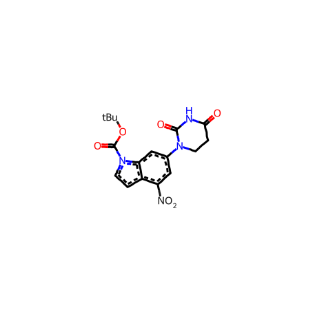 CC(C)(C)OC(=O)n1ccc2c([N+](=O)[O-])cc(N3CCC(=O)NC3=O)cc21